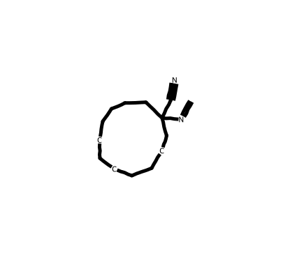 C=NC1(C#N)CCCCCCCCCCC1